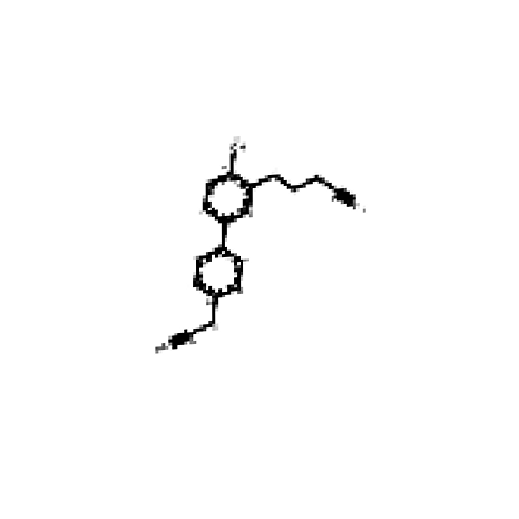 N#CCCCc1cc(-c2ccc(CC#N)cc2)ccc1O